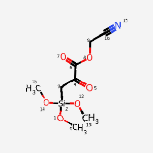 CO[Si](CC(=O)C(=O)OCC#N)(OC)OC